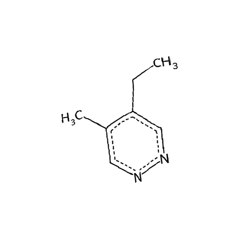 CCc1cnncc1C